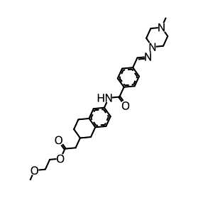 COCCOC(=O)CC1CCc2cc(NC(=O)c3ccc(/C=N/N4CCN(C)CC4)cc3)ccc2C1